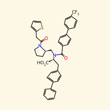 O=C(O)[C@H](Cc1ccc(-c2ccccc2)cc1)N(C[C@H]1CCCN1C(=O)Cc1cccs1)C(=O)c1ccc(-c2ccc(C(F)(F)F)cc2)cc1